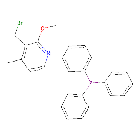 COc1nccc(C)c1CBr.c1ccc(P(c2ccccc2)c2ccccc2)cc1